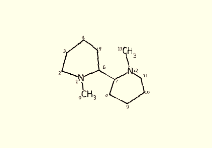 CN1CCC[CH]C1C1CCCCN1C